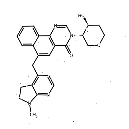 CN1CCc2c(Cc3cc4c(=O)n([C@H]5COCC[C@@H]5O)cnc4c4ccccc34)ccnc21